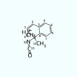 C/C=C\c1ccccc1C(C)(C)N=C=O